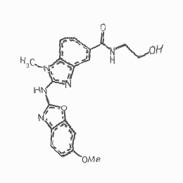 COc1ccc2nc(Nc3nc4cc(C(=O)NCCO)ccc4n3C)oc2c1